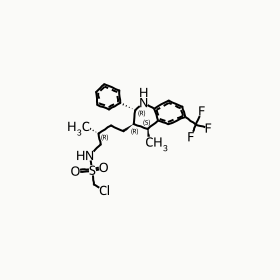 C[C@H](CC[C@@H]1[C@H](C)c2cc(C(F)(F)F)ccc2N[C@H]1c1ccccc1)CNS(=O)(=O)CCl